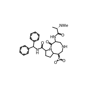 CN[C@@H](C)C(=O)NC1CNCC(=S(=O)=O)C2CCC(C(=O)NC(c3ccccc3)c3ccccc3)N2C1=O